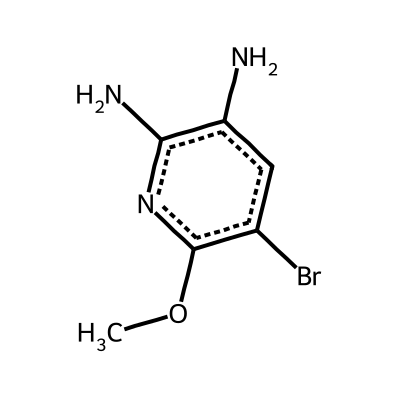 COc1nc(N)c(N)cc1Br